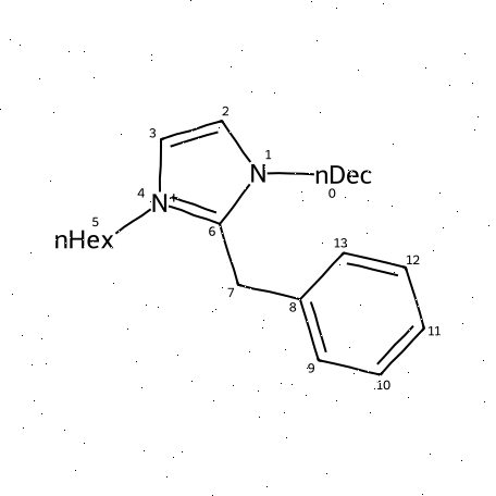 CCCCCCCCCCn1cc[n+](CCCCCC)c1Cc1ccccc1